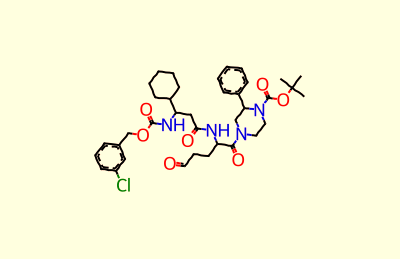 CC(C)(C)OC(=O)N1CCN(C(=O)C(CCC=O)NC(=O)CC(NC(=O)OCc2cccc(Cl)c2)C2CCCCC2)CC1c1ccccc1